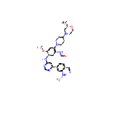 CNc1cc(-c2cc(NC3CC(NC=O)=C(N4CCC(N5CCO[C@H](C)C5)CC4)C=C3OC)ncn2)ccc1C=N